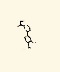 COC(=O)c1ccc(-c2ccn3ncc(I)c3n2)cc1NC=O